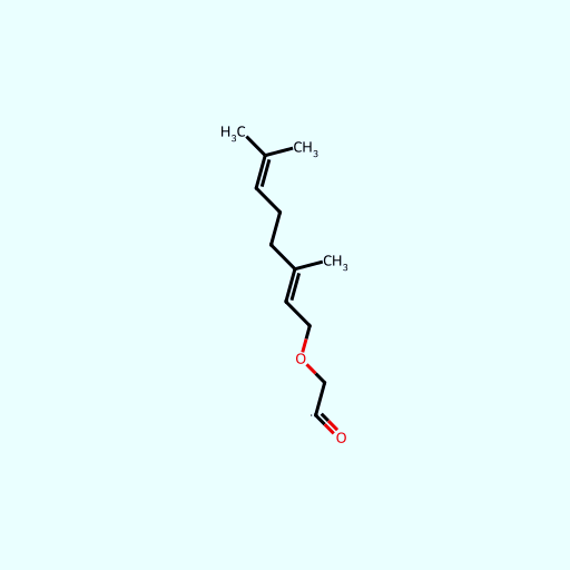 CC(C)=CCC/C(C)=C/COC[C]=O